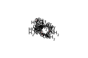 CCC(C)(C)C(=O)OCCC(=O)N[C@@H](CCNC(=O)OC(C)(C)C)C(=O)N[C@H](C(=O)N[C@@H](CCN)C(=O)N[C@H]1CCNC(=O)[C@H](C(C)O)NC(=O)[C@H](CCN)NC(=O)[C@H](CCN)NC(=O)[C@H](CC(C)C)NC(=O)[C@@H](CC(C)C)NC(=O)[C@H](CCN)NC1=O)C(C)O